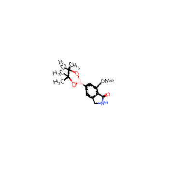 COc1cc(B2OC(C)(C)C(C)(C)O2)cc2c1C(=O)NC2